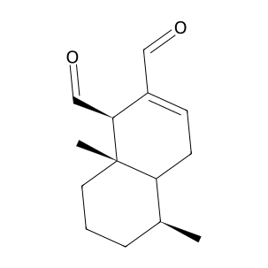 C[C@H]1CCC[C@@]2(C)C1CC=C(C=O)[C@@H]2C=O